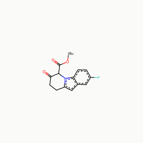 CC(C)(C)OC(=O)C1C(=O)CCc2cc3cc(F)ccc3n21